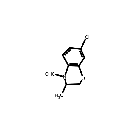 CC1COc2cc(Cl)ccc2N1C=O